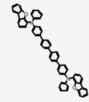 c1ccc(N(c2ccc(-c3ccc(-c4ccc(-c5ccc(N(c6ccccc6)c6cccc7c6oc6ccccc67)cc5)cc4)cc3)cc2)c2cccc3c2oc2ccccc23)cc1